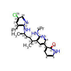 CC(C)Nc1ncc(-c2ccc[nH]c2=O)cc1C(C)CCC(C)Nc1ncc(Cl)cc1C(C)C